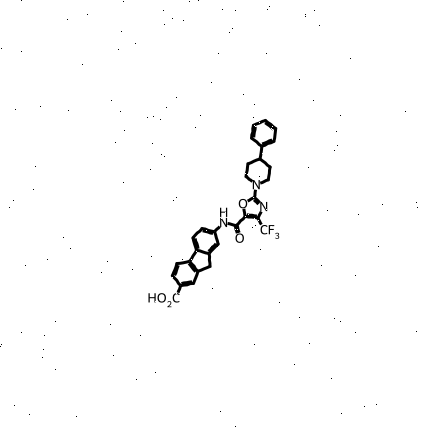 O=C(O)c1ccc2c(c1)Cc1cc(NC(=O)c3oc(N4CCC(c5ccccc5)CC4)nc3C(F)(F)F)ccc1-2